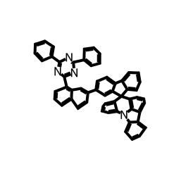 c1ccc(-c2nc(-c3ccccc3)nc(-c3cccc4ccc(-c5ccc6c(c5)C5(c7ccccc7-6)c6ccccc6-n6c7ccccc7c7cccc5c76)cc34)n2)cc1